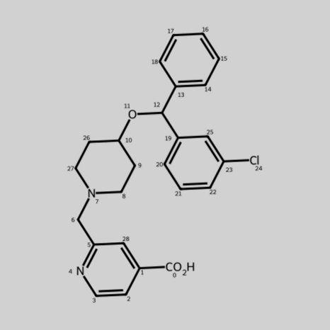 O=C(O)c1ccnc(CN2CCC(OC(c3ccccc3)c3cccc(Cl)c3)CC2)c1